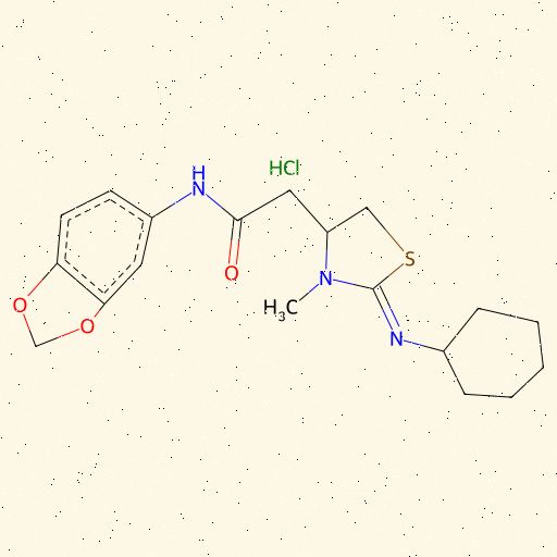 CN1C(=NC2CCCCC2)SCC1CC(=O)Nc1ccc2c(c1)OCO2.Cl